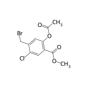 COC(=O)c1cc(Cl)c(CBr)cc1OC(C)=O